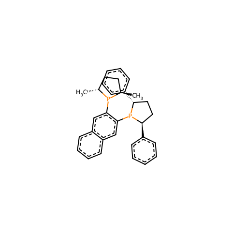 C[C@@H]1CC[C@@H](C)P1c1cc2ccccc2cc1P1[C@H](c2ccccc2)CC[C@H]1c1ccccc1